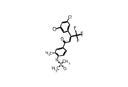 Cc1cc(C(=O)/C=C(\c2cc(Cl)cc(Cl)c2)C(F)(F)F)ccc1N=S(C)(C)=O